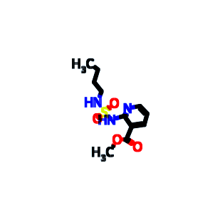 CCCCNS(=O)(=O)Nc1ncccc1C(=O)OC